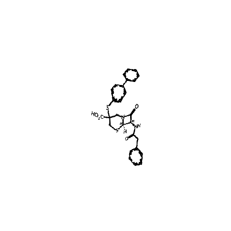 O=C(Cc1ccccc1)N[C@@H]1C(=O)N2CC(Sc3ccc(-c4ccccc4)cc3)(C(=O)O)CS[C@H]12